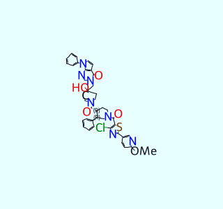 COc1ccc(-c2nc(Cl)c(C(=O)N3CC[C@@H](C(=O)N4CCC(O)(Cn5cnc6c(ccn6-c6ccccc6)c5=O)CC4)[C@H](c4ccccc4)C3)s2)cn1